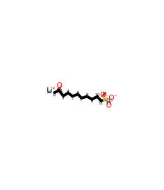 CC(=O)CCCCCCCCCS(=O)(=O)[O-].[Li+]